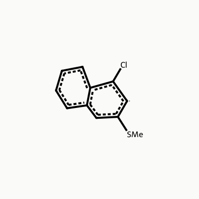 CSc1[c]c(Cl)c2ccccc2c1